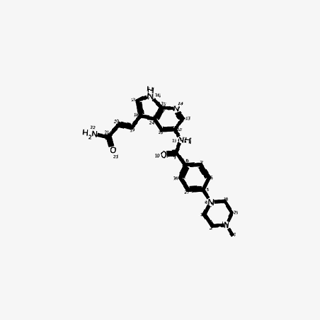 CN1CCN(c2ccc(C(=O)Nc3cnc4[nH]cc(C=CC(N)=O)c4c3)cc2)CC1